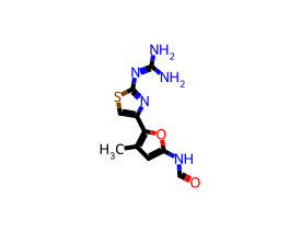 Cc1cc(NC=O)oc1-c1csc(N=C(N)N)n1